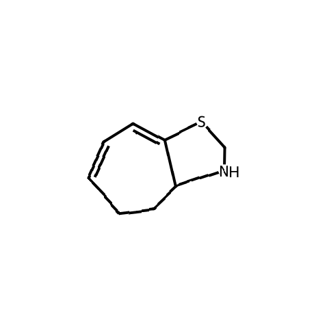 C1=CCCC2NCSC2=C1